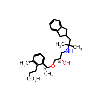 Cc1cccc([C@@H](C)OC[C@@H](O)CNC(C)(C)CC2Cc3ccccc3C2)c1CCC(=O)O